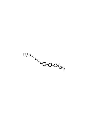 CCCCCCCCCCCC1CCC(c2ccc(-c3ccc(OC)cc3)cc2)CC1